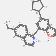 CC(C)Cc1ccc2c(-c3cc(C4CCCC4)cc4ccoc34)nccc2c1